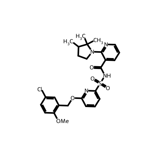 COc1ccc(Cl)cc1COc1cccc(S(=O)(=O)NC(=O)c2cccnc2N2CCC(C)C2(C)C)n1